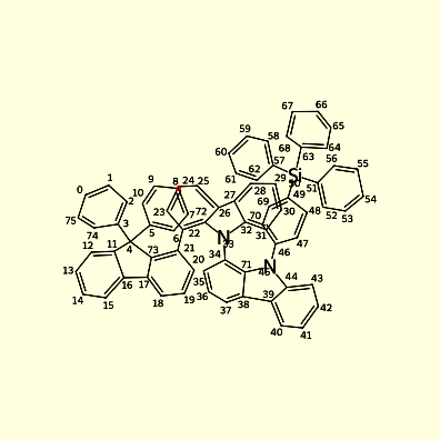 c1ccc(C2(c3ccccc3)c3ccccc3-c3cccc(-c4cccc5c6ccccc6n(-c6cccc7c8ccccc8n(-c8ccc([Si](c9ccccc9)(c9ccccc9)c9ccccc9)cc8)c67)c45)c32)cc1